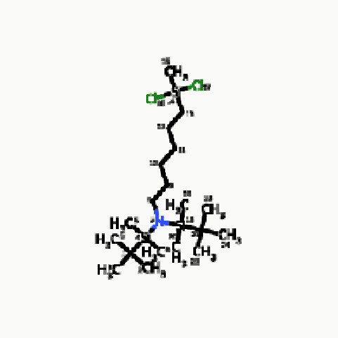 CC(C)(C)[Si](C)(C)N(CCCCCC[Si](C)(Cl)Cl)[Si](C)(C)C(C)(C)C